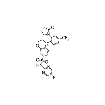 O=C1CCCN1c1cc(C(F)(F)F)ccc1[C@@H]1CCOc2cc(S(=O)(=O)Nc3ncc(F)cn3)ccc21